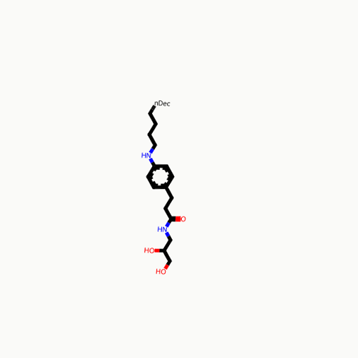 CCCCCCCCCCCCCCNc1ccc(CCC(=O)NCC(O)CO)cc1